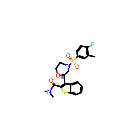 Cc1cc(S(=O)(=O)N2CCO[C@H](c3c(C(=O)N(C)C)sc4ccccc34)C2)ccc1F